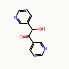 O=C(c1cccnc1)C(O)c1cccnc1